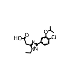 CCn1nc(-c2ccc(Cl)c(OC(C)C)c2)nc1CC(=O)O